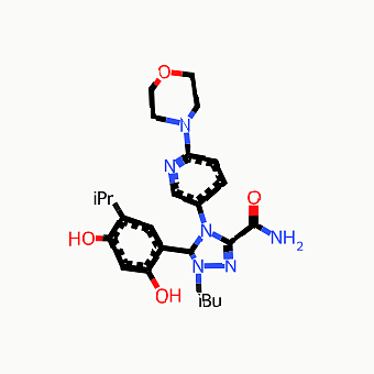 CCC(C)N1N=C(C(N)=O)N(c2ccc(N3CCOCC3)nc2)C1c1cc(C(C)C)c(O)cc1O